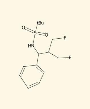 CC(C)(C)S(=O)(=O)NC(c1ccccc1)C(CF)CF